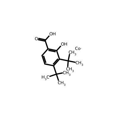 CC(C)(C)c1ccc(C(=O)O)c(O)c1C(C)(C)C.[Co]